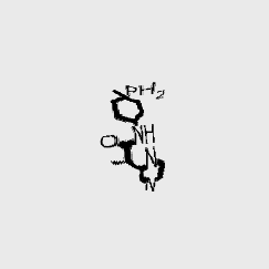 C[C@@H](C(=O)NC1CCC(C)(P)CC1)c1cnccn1